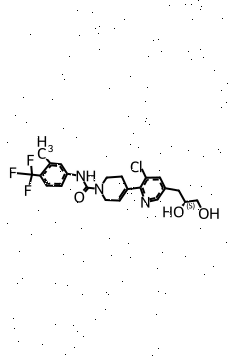 Cc1cc(NC(=O)N2CC=C(c3ncc(C[C@H](O)CO)cc3Cl)CC2)ccc1C(F)(F)F